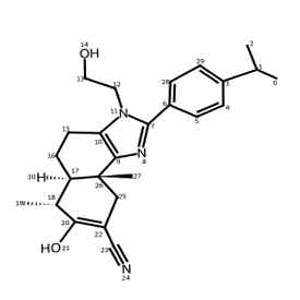 CC(C)c1ccc(-c2nc3c(n2CCO)CC[C@@H]2[C@@H](C)C(O)=C(C#N)C[C@@]32C)cc1